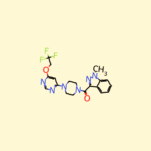 Cn1nc(C(=O)N2CCN(c3cc(OCC(F)(F)F)ncn3)CC2)c2ccccc21